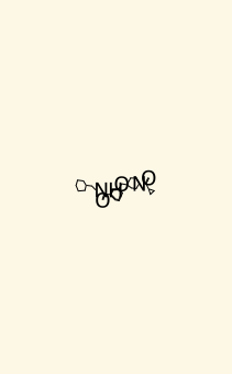 O=C(NCCC1CCCCC1)c1cccc(OC2CCN(C(=O)C3CC3)CC2)c1